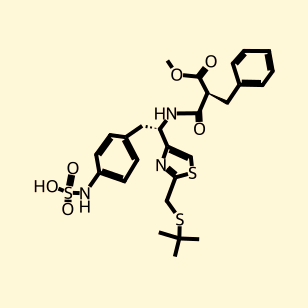 COC(=O)[C@@H](Cc1ccccc1)C(=O)N[C@@H](Cc1ccc(NS(=O)(=O)O)cc1)c1csc(CSC(C)(C)C)n1